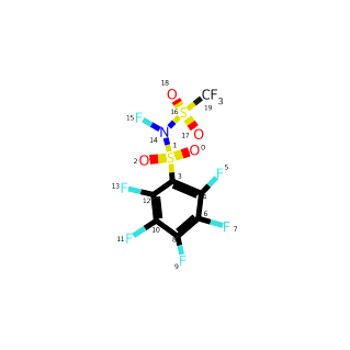 O=S(=O)(c1c(F)c(F)c(F)c(F)c1F)N(F)S(=O)(=O)C(F)(F)F